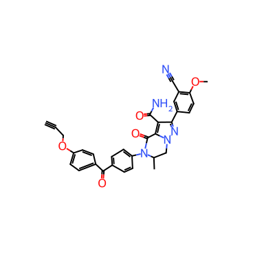 C#CCOc1ccc(C(=O)c2ccc(N3C(=O)c4c(C(N)=O)c(-c5ccc(OC)c(C#N)c5)nn4CC3C)cc2)cc1